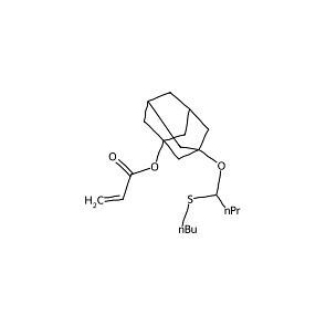 C=CC(=O)OC12CC3CC(C1)CC(OC(CCC)SCCCC)(C3)C2